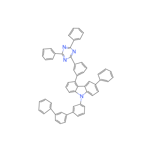 c1ccc(-c2cccc(-c3cccc(-n4c5ccc(-c6ccccc6)cc5c5c(-c6cccc(-c7nc(-c8ccccc8)nc(-c8ccccc8)n7)c6)cccc54)c3)c2)cc1